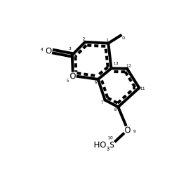 Cc1cc(=O)oc2cc(OS(=O)(=O)O)ccc12